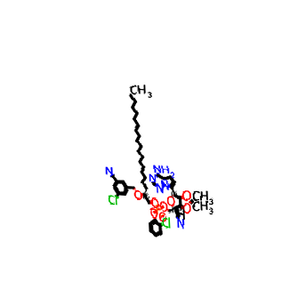 CCCCCCCCCCCCCCCCCCC[C@H](COP(=O)(OC[C@@]1(C#N)O[C@@H](c2ccc3c(N)ncnn23)C2OC(C)(C)O[C@@H]21)Oc1ccccc1Cl)OCc1cc(Cl)cc(C#N)c1